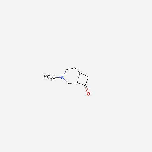 O=C1CC2CCN(C(=O)O)CC12